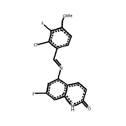 COc1ccc(C=Nc2cc(F)cc3[nH]c(=O)ccc23)c(Cl)c1F